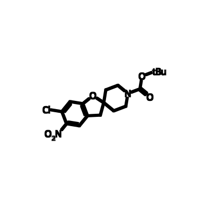 CC(C)(C)OC(=O)N1CCC2(CC1)Cc1cc([N+](=O)[O-])c(Cl)cc1O2